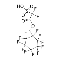 O=C(OCC1(F)C(F)(F)C(F)(F)C(F)(F)C(F)(F)C1(F)F)C(F)(F)S(=O)(=O)O